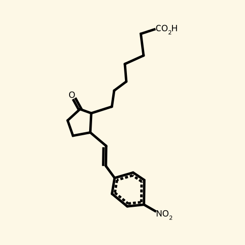 O=C(O)CCCCCCC1C(=O)CCC1C=Cc1ccc([N+](=O)[O-])cc1